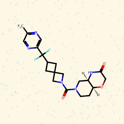 O=C1CO[C@H]2CCN(C(=O)N3CC4(CC(C(F)(F)c5cnc(C(F)(F)F)cn5)C4)C3)C[C@H]2N1